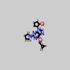 O=C1CCCC1n1cnc2c(OCC3CC3)nc(N3CCCC3)nc21